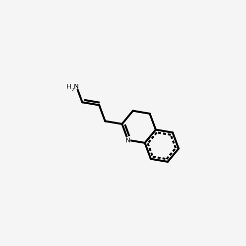 NC=CCC1=Nc2ccccc2CC1